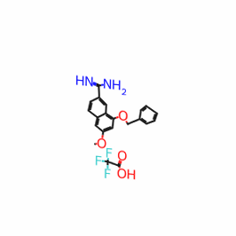 COc1cc(OCc2ccccc2)c2cc(C(=N)N)ccc2c1.O=C(O)C(F)(F)F